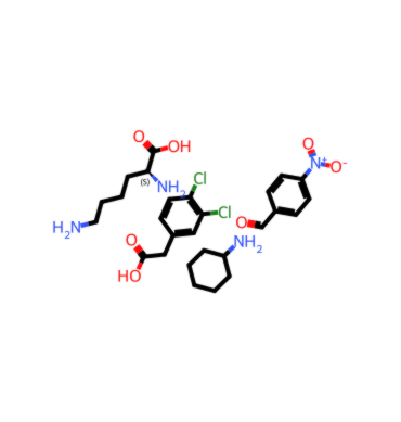 NC1CCCCC1.NCCCC[C@H](N)C(=O)O.O=C(O)Cc1ccc(Cl)c(Cl)c1.O=Cc1ccc([N+](=O)[O-])cc1